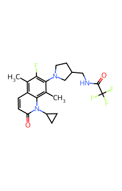 Cc1c(F)c(N2CCC(CNC(=O)C(F)(F)F)C2)c(C)c2c1ccc(=O)n2C1CC1